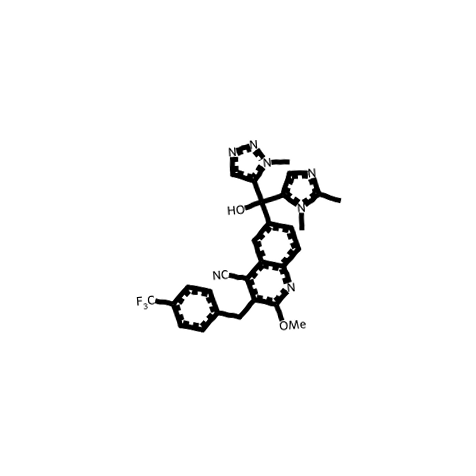 COc1nc2ccc(C(O)(c3cnnn3C)c3cnc(C)n3C)cc2c(C#N)c1Cc1ccc(C(F)(F)F)cc1